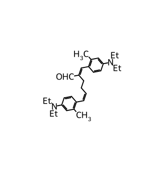 CCN(CC)c1ccc(C=C(C=O)CC/C=C\c2ccc(N(CC)CC)cc2C)c(C)c1